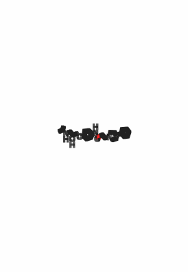 CC(C)NC[C@@H](O)COc1ccc(NC(=O)CCN2CCN(c3ccccc3)CC2)cc1